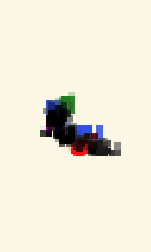 CC(C)(C)OC(=O)N[C@H]1CCCN(c2cc(Cl)ncc2I)C1